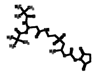 CC(CS(=O)(=O)CCNC(=O)CN(NC(=O)C(C)(C)C)OC(=O)C(C)(C)C)OC(=O)ON1C(=O)CCC1=O